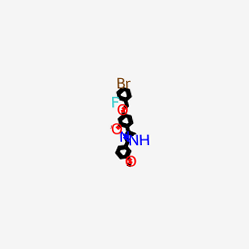 COc1cccc(-c2nc(-c3ccc(OCc4ccc(Br)cc4F)cc3OC)c[nH]2)c1